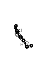 O=C(Nc1cccc(N2CCCC2)c1)c1ccc(N2CCN(C(=O)Cc3c(Cl)cc(CN4CCCC4)cc3Cl)CC2)cc1